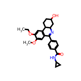 CCOc1cc2c(cc1OC)C(c1ccc(C(=O)NC3CC3)cc1)=NC1CC(O)CCC21